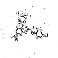 CC1(C)COP(=O)(C(OC(=O)COc2ccc(Cl)cc2Cl)c2ccc([N+](=O)[O-])cc2)OC1